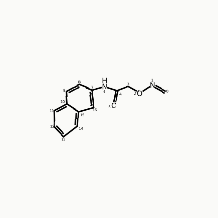 C=NOCC(=O)Nc1ccc2ccccc2c1